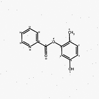 Cc1ccc(O)cc1OC(=O)c1ccccn1